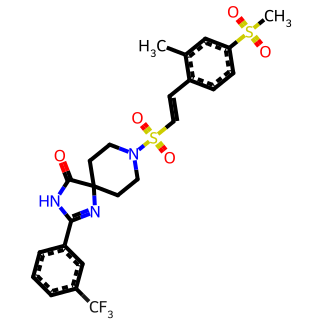 Cc1cc(S(C)(=O)=O)ccc1/C=C/S(=O)(=O)N1CCC2(CC1)N=C(c1cccc(C(F)(F)F)c1)NC2=O